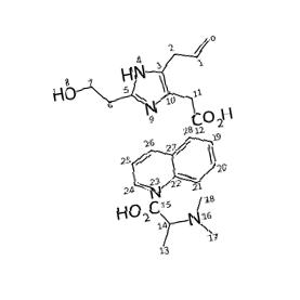 C=CCc1[nH]c(CCO)nc1CC(=O)O.CC(C(=O)O)N(C)C.c1ccc2ncccc2c1